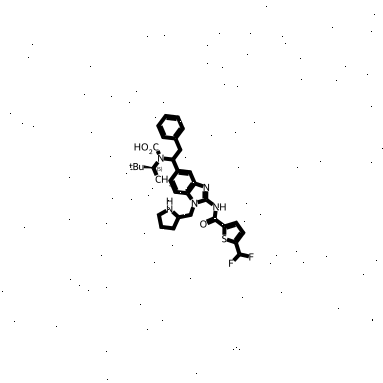 C[C@H](N(C(=O)O)C(Cc1ccccc1)c1ccc2c(c1)nc(NC(=O)c1ccc(C(F)F)s1)n2CC1CCCN1)C(C)(C)C